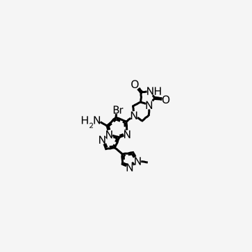 Cn1cc(-c2cnn3c(N)c(Br)c(N4CCN5C(=O)NC(=O)C5C4)nc23)cn1